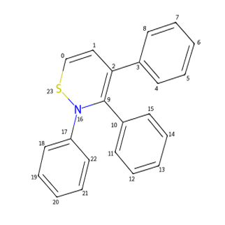 C1=CC(c2ccccc2)=C(c2ccccc2)N(c2ccccc2)S1